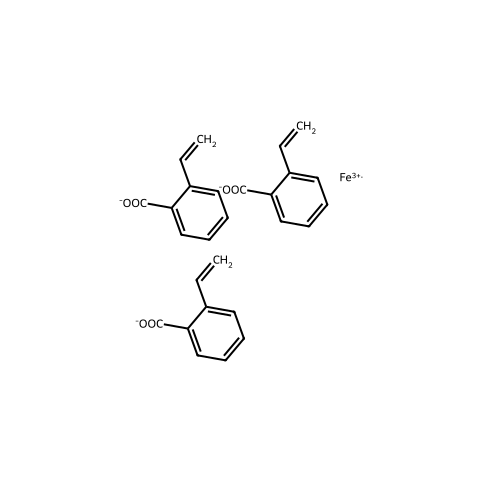 C=Cc1ccccc1C(=O)[O-].C=Cc1ccccc1C(=O)[O-].C=Cc1ccccc1C(=O)[O-].[Fe+3]